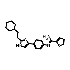 N/C(=N\c1ccc(-c2c[nH]c(CCC3CCCCC3)n2)cc1)c1cccs1